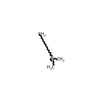 CCCCCCCCCCCCCCCCCN1C=CN(CCCC)C1CCC